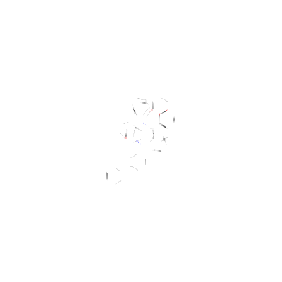 c1ccc(-c2ccc3c4cccc([Si](c5ccccc5)(c5ccccc5)c5ccccc5)c4n(-c4cccc5c6ccccc6n(-c6ccccc6-c6ccccc6)c45)c3c2)cc1